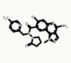 Cn1ncc2c(N)nc3cc(Cl)c(C(=O)N(Cc4ccc(C(F)(F)F)cn4)N4CCCC4=O)cc3c21